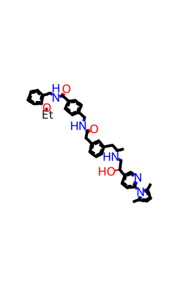 CCOc1ccccc1CNC(=O)c1ccc(CNC(=O)Cc2cccc(CC(C)NC[C@H](O)c3ccc(-n4c(C)ccc4C)nc3)c2)cc1